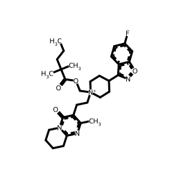 CCCC(C)(C)C(=O)OC[N+]1(CCc2c(C)nc3n(c2=O)CCCC3)CCC(c2noc3cc(F)ccc23)CC1